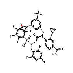 CC(C)(C)c1cc(CN(C(=O)CN(Cc2c(F)cc(F)cc2F)S(=O)(=O)c2c(F)c(F)c(F)c(F)c2F)c2ccc(C(=O)O)cc2C2CC2)cc(C2CC2)c1